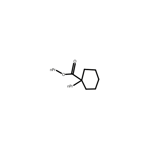 CCCOC(=O)C1(CCC)CCCCC1